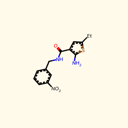 CCc1cc(C(=O)NCc2cccc([N+](=O)[O-])c2)c(N)s1